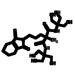 CC(CCCN1C(=O)C2=C(CCCC2)C1=O)(C(=O)NC(CO)(CO)CO)C(=O)NC(CO)(CO)CO